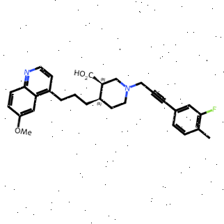 COc1ccc2nccc(CCC[C@@H]3CCN(CC#Cc4ccc(C)c(F)c4)C[C@@H]3C(=O)O)c2c1